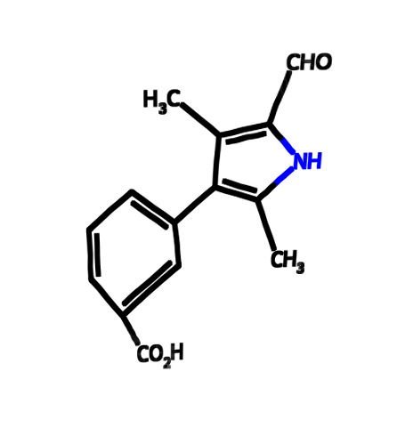 Cc1[nH]c(C=O)c(C)c1-c1cccc(C(=O)O)c1